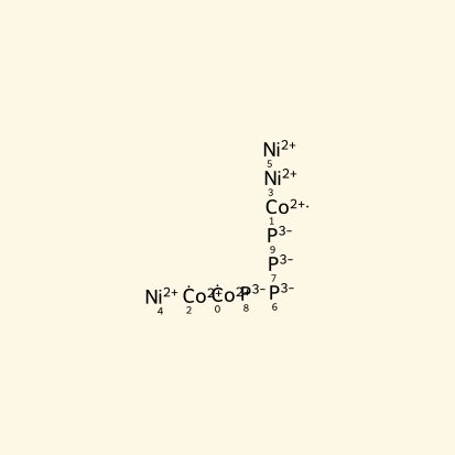 [Co+2].[Co+2].[Co+2].[Ni+2].[Ni+2].[Ni+2].[P-3].[P-3].[P-3].[P-3]